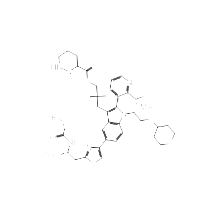 CO[C@@H](C)c1ncccc1-c1c(CC(C)(C)COC(=O)C2CCCNN2)c2cc(-c3csc(C[C@@H](C=O)NC(=O)OC(C)(C)C)n3)ccc2n1CCOC1CCOCC1